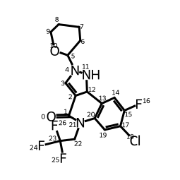 O=C1C2=CN(C3CCCCO3)NC2c2cc(F)c(Cl)cc2N1CC(F)(F)F